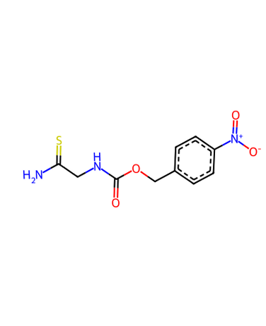 NC(=S)CNC(=O)OCc1ccc([N+](=O)[O-])cc1